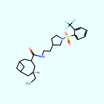 CC[C@H]1CC2CC(C2)CC(C(=O)NCCC2CCN(S(=O)(=O)c3ccccc3C(F)(F)F)C2)C1